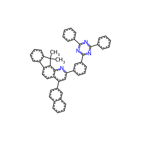 CC1(C)c2ccccc2-c2ccc3c(-c4ccc5ccccc5c4)cc(-c4cccc(-c5nc(-c6ccccc6)nc(-c6ccccc6)n5)c4)nc3c21